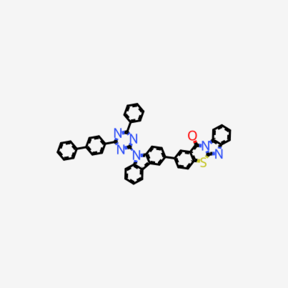 O=c1c2cc(-c3ccc4c(c3)c3ccccc3n4-c3nc(-c4ccccc4)nc(-c4ccc(-c5ccccc5)cc4)n3)ccc2sc2nc3ccccc3n12